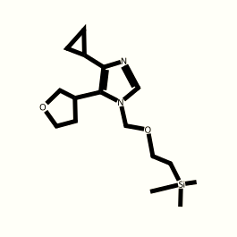 C[Si](C)(C)CCOCn1cnc(C2CC2)c1C1CCOC1